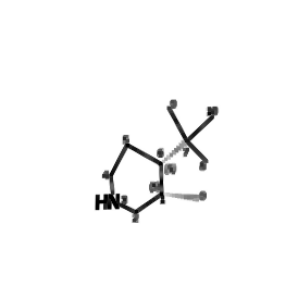 C[C@@H]1CNCC[C@@H]1C(C)(C)C